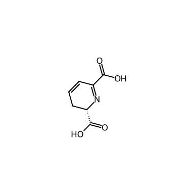 O=C(O)C1=N[C@H](C(=O)O)CC=C1